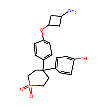 NC1CC(Oc2ccc(C3(c4ccc(O)cc4)CCS(=O)(=O)CC3)cc2)C1